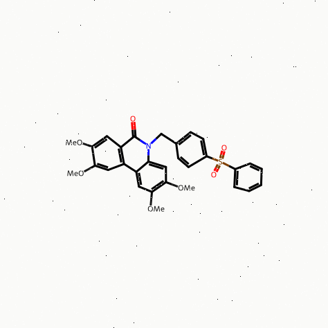 COc1cc2c(=O)n(Cc3ccc(S(=O)(=O)c4ccccc4)cc3)c3cc(OC)c(OC)cc3c2cc1OC